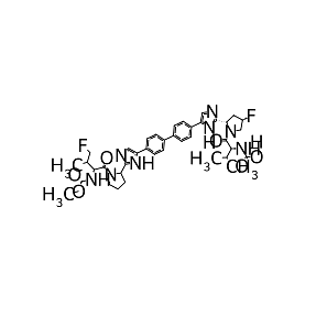 COC(=O)N[C@H](C(=O)N1CCCC1c1ncc(-c2ccc(-c3ccc(-c4cnc([C@@H]5C[C@@H](F)CN5C(=O)[C@@H](NC(=O)O)C(C)C)[nH]4)cc3)cc2)[nH]1)C(C)CF